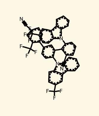 N#Cc1ccc(-c2ccc(-n3c4ccccc4c4cc(C(F)(F)F)ccc43)c(-c3c(C#N)cccc3-n3c4ccccc4c4cc(C(F)(F)F)ccc43)c2)c(C(F)(F)F)c1